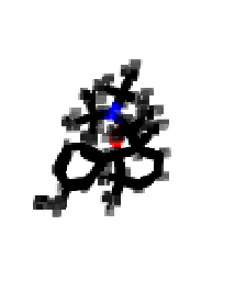 [2H]O[C@@]1(c2cccc(OC)c2)C([2H])([2H])CCC[C@@]1([2H])C([2H])([2H])N(C([2H])([2H])[2H])C([2H])([2H])[2H]